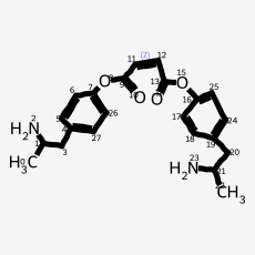 CC(N)Cc1ccc(OC(=O)/C=C\C(=O)Oc2ccc(CC(C)N)cc2)cc1